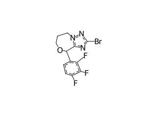 Fc1ccc(C2OCCCn3nc(Br)nc32)c(F)c1F